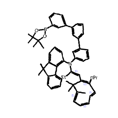 CCCC1=C(\C=C(/CC)N(c2cccc(-c3cccc(-c4cccc(B5OC(C)(C)C(C)(C)O5)c4)c3)c2)c2cccc3c2-c2ccccc2C3(C)C)C(C)(C)/C(C)=C/C=C\C=C\1